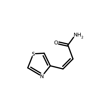 NC(=O)/C=C\c1cscn1